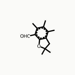 Cc1c(C)c(C=O)c2c(c1C)CC(C)(C)O2